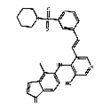 Cc1c(Nc2c(C#N)cncc2C=Cc2cccc(S(=O)(=O)N3CCCCC3)c2)ccc2[nH]ccc12